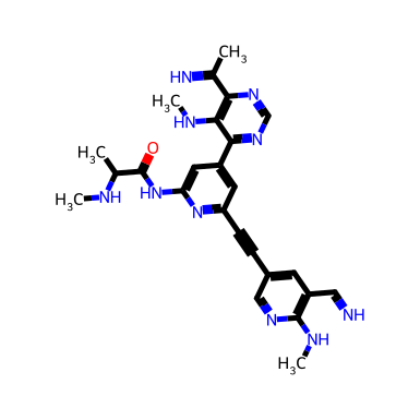 CNc1ncc(C#Cc2cc(-c3ncnc(C(C)=N)c3NC)cc(NC(=O)C(C)NC)n2)cc1C=N